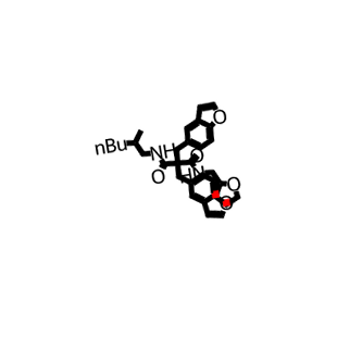 CCCCC(C)CNC(=O)C(Cc1ccc2occc2c1)(Cc1ccc2occc2c1)C(=O)NCC1CCCO1